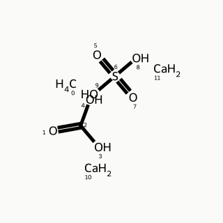 C.O=C(O)O.O=S(=O)(O)O.[CaH2].[CaH2]